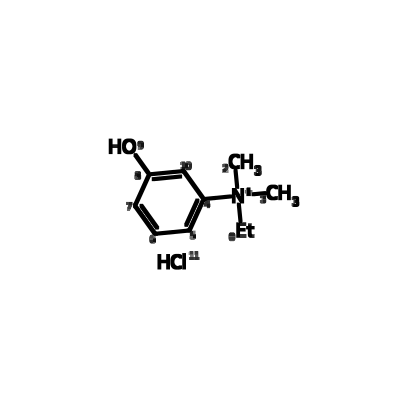 CC[N+](C)(C)c1cccc(O)c1.Cl